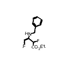 CCOC(=O)C(F)C(CF)NCc1ccccc1